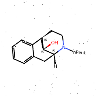 CCCCCN1CC[C@]23CCCC[C@@]2(O)[C@H]1Cc1ccccc13